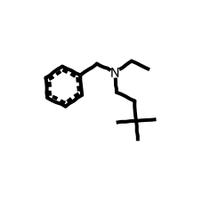 CCN(CCC(C)(C)C)Cc1ccccc1